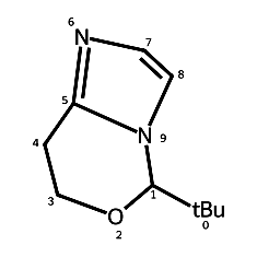 CC(C)(C)C1OCCc2nccn21